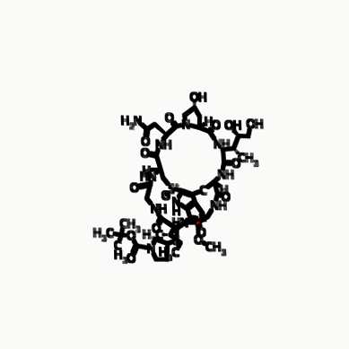 CC[C@H](C)[C@@H]1NC(=O)CNC(=O)[C@@H]2Cc3c([nH]c4c(CSC5CCN(C(=O)OC(C)(C)C)C5)c(OC)ccc34)[S+]([O-])C[C@H](NC(=O)CNC1=O)C(=O)N[C@@H](CC(N)=O)C(=O)N1C[C@H](O)C[C@@H]1C(=O)N[C@@H]([C@@H](C)[C@@H](O)CO)C(=O)N2